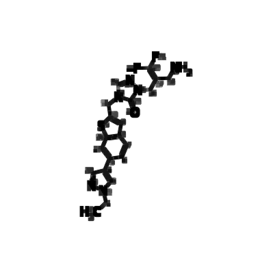 CCn1cc(-c2ccc3cc(Cn4cnn(CC(CN)=C(F)F)c4=O)sc3c2)cn1